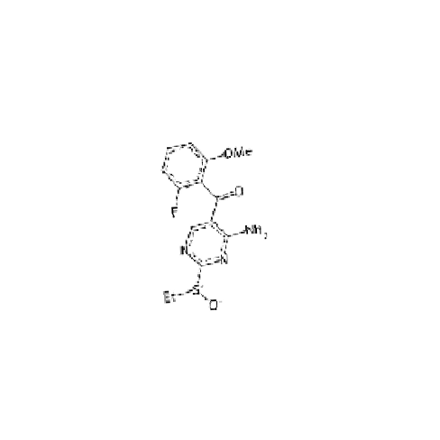 CC[S+]([O-])c1ncc(C(=O)c2c(F)cccc2OC)c(N)n1